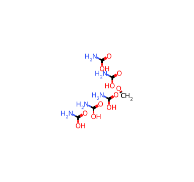 C=O.NC(=O)O.NC(=O)O.NC(=O)O.NC(=O)O.NC(=O)O